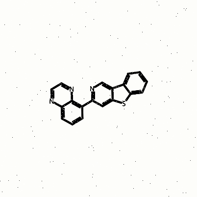 c1cc(-c2cc3sc4ccccc4c3cn2)c2nccnc2c1